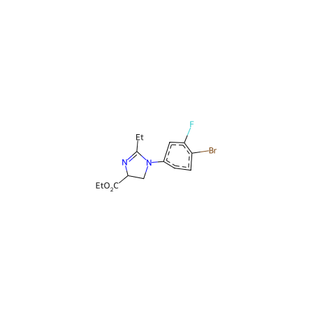 CCOC(=O)C1CN(c2ccc(Br)c(F)c2)C(CC)=N1